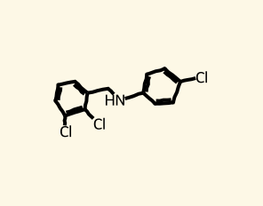 Clc1ccc(NCc2cccc(Cl)c2Cl)cc1